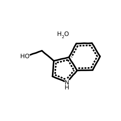 O.OCc1c[nH]c2ccccc12